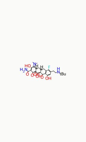 CN(C)[C@@H]1C(O)=C(C(N)=O)C(=O)[C@@]2(O)C(O)=C3C(=O)c4c(O)cc(CCNC(C)(C)C)c(F)c4C[C@H]3C[C@@H]12